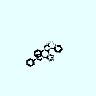 C[C@@H]1CN(c2ccccc2)C(n2nnnc2N2CCN(c3ccccc3)C2)N1c1ccccn1